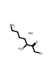 Cl.NCCCCC(N)C(=O)CCl